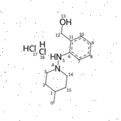 CC1CCN(Nc2ccccc2CO)CC1.Cl.Cl